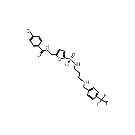 O=C(NCc1ccc(S(=O)(=O)NCCCNCc2ccc(C(F)(F)F)cc2)s1)c1ccc(Cl)cc1